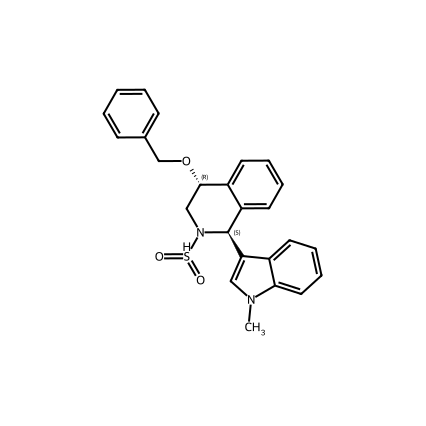 Cn1cc([C@@H]2c3ccccc3[C@@H](OCc3ccccc3)CN2[SH](=O)=O)c2ccccc21